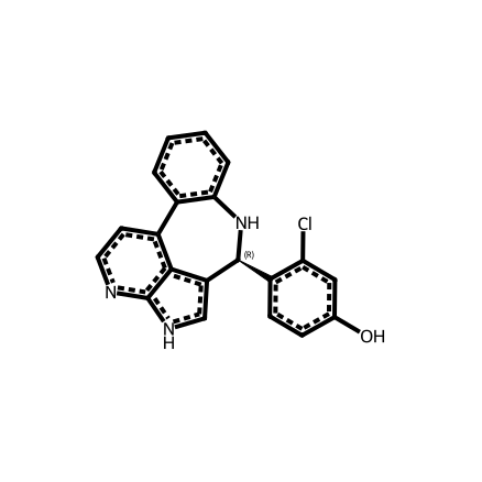 Oc1ccc([C@@H]2Nc3ccccc3-c3ccnc4[nH]cc2c34)c(Cl)c1